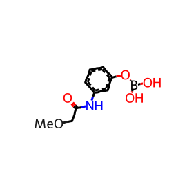 COCC(=O)Nc1cccc(OB(O)O)c1